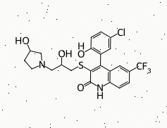 O=c1[nH]c2ccc(C(F)(F)F)cc2c(-c2cc(Cl)ccc2O)c1SCC(O)CN1CCC(O)C1